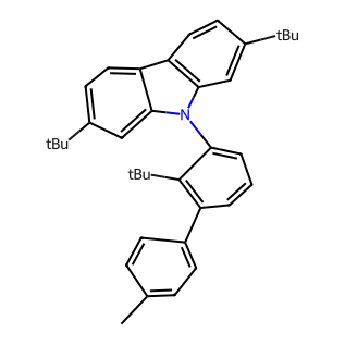 Cc1ccc(-c2cccc(-n3c4cc(C(C)(C)C)ccc4c4ccc(C(C)(C)C)cc43)c2C(C)(C)C)cc1